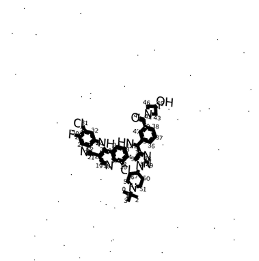 CC(C)(C)N1CCC(n2cc(C(Nc3cc(Cl)c4ncc(C#N)c(Nc5ccc(F)c(Cl)c5)c4c3)c3cccc(C(=O)N4CC(O)C4)c3)nn2)CC1